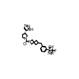 N=S(=O)(c1cccc(CC2CC3(C2)CN(C(=O)N2CC[C@H](c4cnn[nH]4)C2)C3)c1)C(F)(F)F